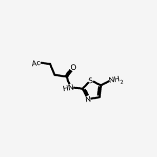 CC(=O)CCC(=O)Nc1ncc(N)s1